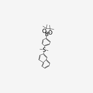 CC1(C)OB(c2ccc(S(C)(C)c3ccc4ccccc4c3)cc2)OC1(C)C